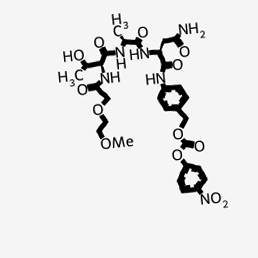 COCCOCC(=O)N[C@H](C(=O)N[C@@H](C)C(=O)N[C@@H](CC(N)=O)C(=O)Nc1ccc(COC(=O)Oc2ccc([N+](=O)[O-])cc2)cc1)C(C)O